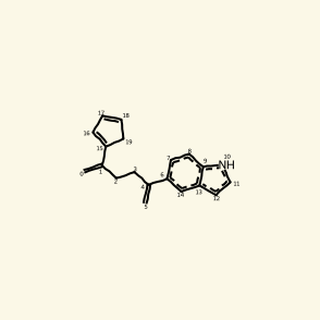 C=C(CCC(=C)c1ccc2[nH]ccc2c1)C1=CC=CC1